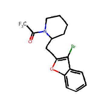 O=C(N1CCCCC1Cc1oc2ccccc2c1Br)C(F)(F)F